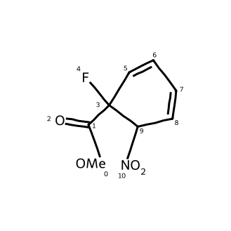 COC(=O)C1(F)C=CC=CC1[N+](=O)[O-]